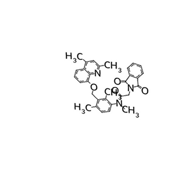 Cc1cc(C)c2cccc(OCc3c(C)ccc(N(C)C(=O)CN4C(=O)c5ccccc5C4=O)c3C)c2n1